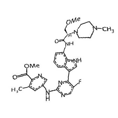 COC[C@H](C(=O)Nc1cccc2c(-c3nc(Nc4cnc(C(=O)OC)c(C)c4)ncc3F)c[nH]c12)N1CCN(C)CC1